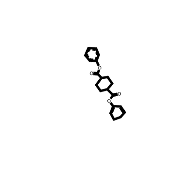 O=C(OC1=CCCC=C1)C1CCC(C(=O)Oc2ccccc2)CC1